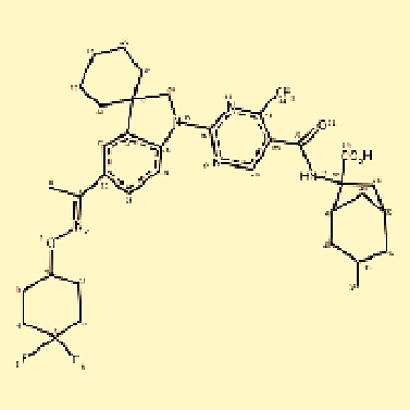 C/C(=N\OC1CCC(F)(F)CC1)c1ccc2c(c1)C1(CCCCC1)CN2c1ncc(C(=O)NC2(C(=O)O)CC3CC(C)CC2C3)c(C(F)(F)F)n1